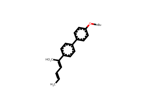 CC=CC=C(C(=O)O)c1ccc(-c2ccc(OCCCC)cc2)cc1